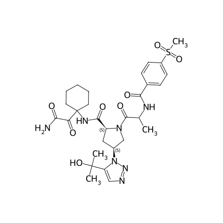 CC(NC(=O)c1ccc(S(C)(=O)=O)cc1)C(=O)N1C[C@@H](n2nncc2C(C)(C)O)C[C@H]1C(=O)NC1(C(=O)C(N)=O)CCCCC1